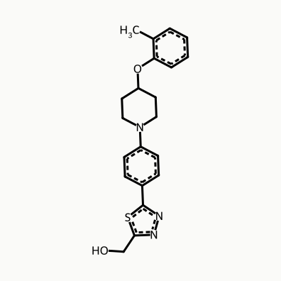 Cc1ccccc1OC1CCN(c2ccc(-c3nnc(CO)s3)cc2)CC1